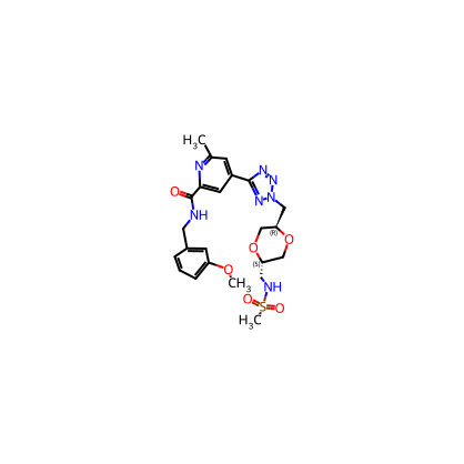 COc1cccc(CNC(=O)c2cc(-c3nnn(C[C@@H]4CO[C@@H](CNS(C)(=O)=O)CO4)n3)cc(C)n2)c1